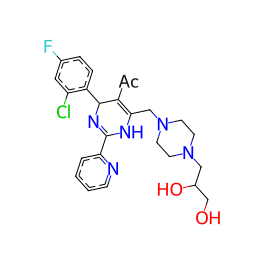 CC(=O)C1=C(CN2CCN(CC(O)CO)CC2)NC(c2ccccn2)=NC1c1ccc(F)cc1Cl